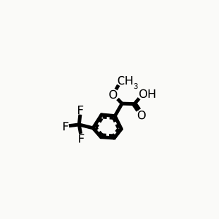 COC(C(=O)O)c1cccc(C(F)(F)F)c1